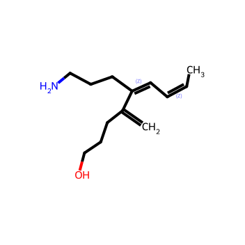 C=C(CCCO)/C(=C\C=C/C)CCCN